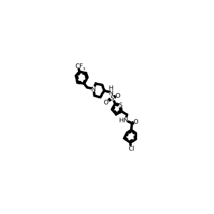 O=C(NCc1ccc(S(=O)(=O)NC2CCN(Cc3ccc(C(F)(F)F)cc3)CC2)s1)c1ccc(Cl)cc1